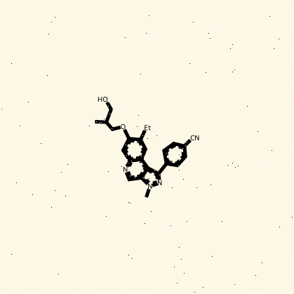 CCc1cc2c(cc1OCC(C)CO)ncc1c2c(-c2ccc(C#N)cc2)nn1C